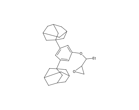 CCC(Oc1cc(C23CC4CC(CC(C4)C2)C3)cc(C23CC4CC(CC(C4)C2)C3)c1)C1CO1